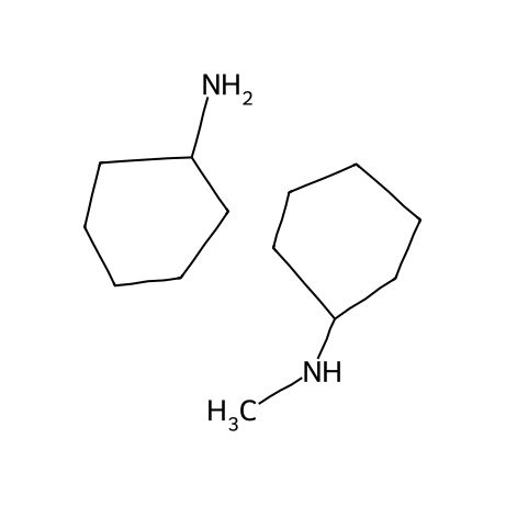 CNC1CCCCC1.NC1CCCCC1